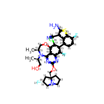 C[C@H](CO)N1c2nc(OC[C@@]34CCCN3C[C@H](F)C4)nc3c(F)c(-c4ccc(F)c5sc(N)c(C#N)c45)c(Cl)c(c23)OC[C@@H]1C